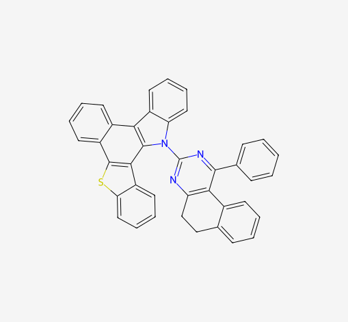 c1ccc(-c2nc(-n3c4ccccc4c4c5ccccc5c5sc6ccccc6c5c43)nc3c2-c2ccccc2CC3)cc1